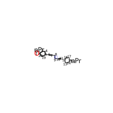 CCCOc1ccc(C#C/C=C/C#C[C@H]2CC[C@H](CCC)CC2)cc1